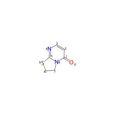 O=c1ccnc2n1C[CH]S2